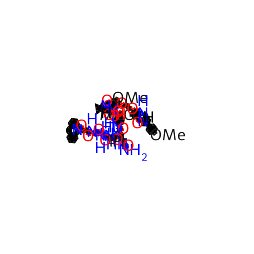 COc1ccc(C2=CN3C(=O)c4cc(OC)c(OCCCOc5cc6c(cc5OC)C(=O)N5CC7(CC7)C[C@H]5C(O)N6C(=O)OCc5ccc(NC(=O)C(CCCNC(N)=O)NC(=O)[C@@H](NC(=O)CNC(=O)CNC(=O)CCC(=O)N6Cc7ccccc7C#Cc7ccccc76)C(C)C)cc5)cc4NC[C@@H]3C2)cc1